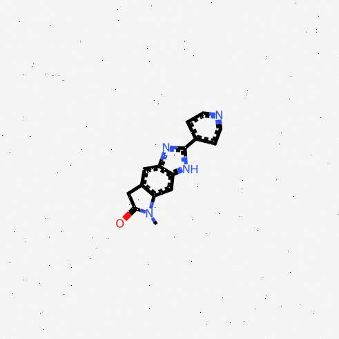 CN1C(=O)Cc2cc3nc(-c4ccncc4)[nH]c3cc21